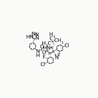 CC(C)(C)C[C@H]1N[C@@H](OC(=O)Nc2cccc(-c3nnn[nH]3)c2)[C@@H](c2cccc(Cl)c2F)[C@]1(C#N)c1ccc(Cl)cc1F